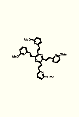 COc1cccc(C=Cc2nc(C=Cc3cccc(OC)n3)c(C=Cc3cccc(OC)n3)nc2C=Cc2cccc(OC)n2)n1